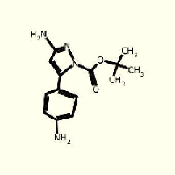 CC(C)(C)OC(=O)n1nc(N)cc1-c1ccc(N)cc1